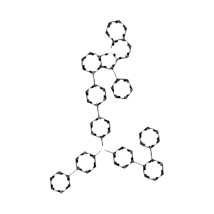 c1ccc(-c2ccc(N(c3ccc(-c4ccc(-c5cccc6c5c(-c5ccccc5)c5ccc7ccccc7n56)cc4)cc3)c3ccc(-c4ccccc4-c4ccccc4)cc3)cc2)cc1